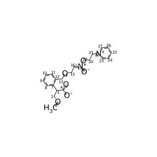 COCC(C(=O)[O-])c1ccccc1COC/C=[N+](\[O-])OCC[n+]1ccccc1